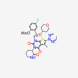 C=NN(/N=C\C)c1sc2c(c1C)c(=O)n(C1CCCNC1=O)c(=O)n2C[C@H](OC1CCOCC1)c1cc(F)ccc1OC